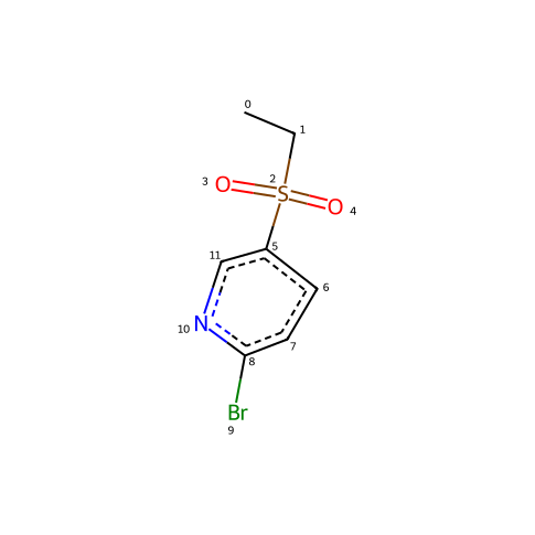 CCS(=O)(=O)c1ccc(Br)nc1